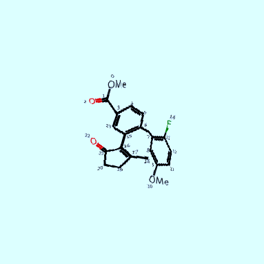 COC(=O)c1ccc(-c2cc(OC)ccc2F)c(C2=C(C)CCC2=O)c1